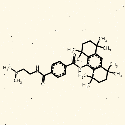 CN(C)CCNC(=O)c1ccc(C(=O)Nc2c3c(cc4c2C(C)(C)CCC4(C)C)C(C)(C)CCC3(C)C)cc1